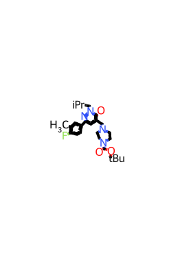 Cc1cc(-c2cc(CN3CCN(C(=O)OC(C)(C)C)CC3)c(=O)n(CC(C)C)n2)ccc1F